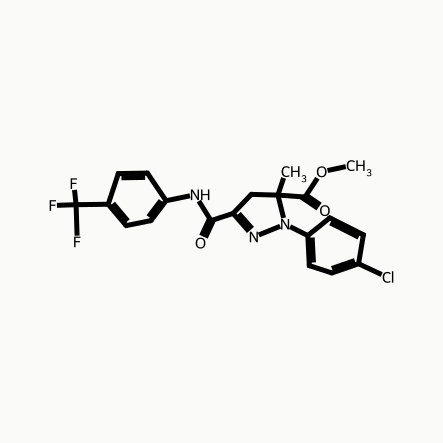 COC(=O)C1(C)CC(C(=O)Nc2ccc(C(F)(F)F)cc2)=NN1c1ccc(Cl)cc1